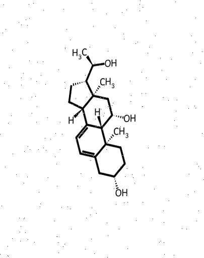 C[C@@H](O)[C@H]1CC[C@H]2C3=CC=C4C[C@@H](O)CC[C@]4(C)[C@H]3[C@@H](O)C[C@]12C